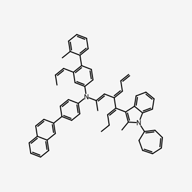 C=C/C=C(\C=C(/C)N(c1ccc(-c2ccc3ccccc3c2)cc1)c1ccc(-c2ccccc2C)c(/C=C\C)c1)C(=C/CC)/c1c(C)n(C2=CC=CC=CC2)c2ccccc12